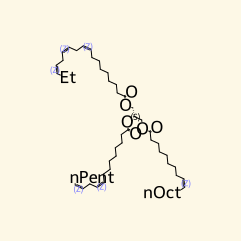 CC/C=C\C/C=C\C/C=C\CCCCCCCC(=O)OC[C@H](COC(=O)CCCCCCC/C=C\CCCCCCCC)OC(=O)CCCCCCC/C=C\C/C=C\CCCCC